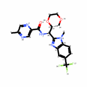 Cc1cnc(C(=O)N[C@H](c2nc3cc(C(F)(F)F)ccc3n2C)[C@H]2COCCO2)cn1